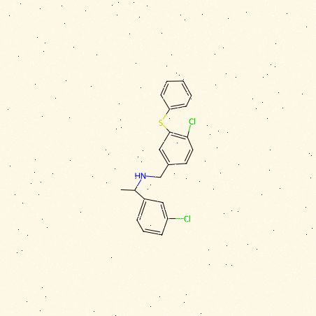 CC(NCc1ccc(Cl)c(Sc2ccccc2)c1)c1cccc(Cl)c1